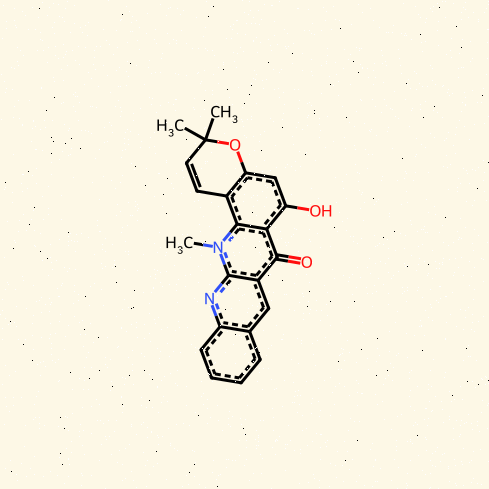 Cn1c2nc3ccccc3cc2c(=O)c2c(O)cc3c(c21)C=CC(C)(C)O3